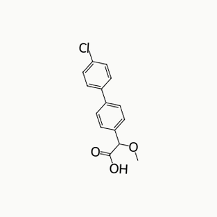 COC(C(=O)O)c1ccc(-c2ccc(Cl)cc2)cc1